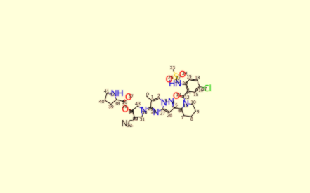 Cc1cn2nc([C@@H]3CCCCN3C(=O)c3cc(Cl)ccc3NS(C)(=O)=O)cc2nc1N1C[C@@H](C#N)[C@@H](OC(=O)C2CCCN2)C1